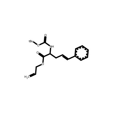 C=CCOC(=O)C(CC=Cc1ccccc1)NC(=O)OC(C)(C)C